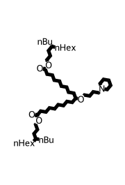 CCCCCCC(CCCC)CCCOC(=O)CCCCCCCCC(CCCCCCCCC(=O)OCCCC(CCCC)CCCCCC)OCCCCN1CCCCC1